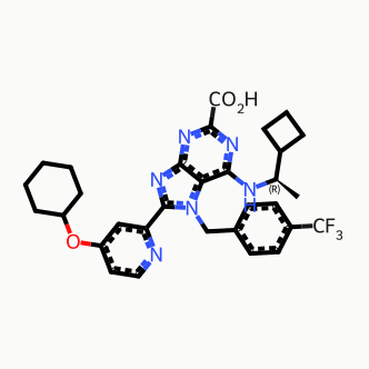 C[C@@H](Nc1nc(C(=O)O)nc2nc(-c3cc(OC4CCCCC4)ccn3)n(Cc3ccc(C(F)(F)F)cc3)c12)C1CCC1